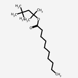 CCCCCCCCCC(=O)OC(C)(C)CC(C)(C)C